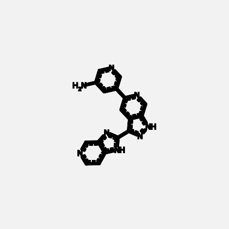 Nc1cncc(-c2cc3c(-c4nc5cnccc5[nH]4)n[nH]c3cn2)c1